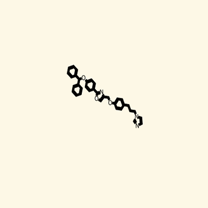 c1ccc(C(Oc2ccc(-c3nc(COc4ccc(CCCn5ccnc5)cc4)co3)cc2)c2ccccc2)cc1